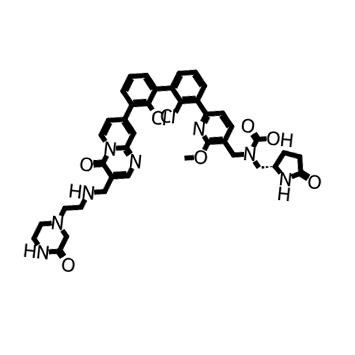 COc1nc(-c2cccc(-c3cccc(-c4ccn5c(=O)c(CNCCN6CCNC(=O)C6)cnc5c4)c3Cl)c2Cl)ccc1CN(C[C@@H]1CCC(=O)N1)C(=O)O